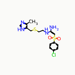 Cc1nc[nH]c1CSCCNC(N)=CS(=O)(=O)c1ccc(Cl)cc1